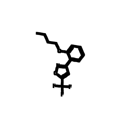 CCCCOc1ccccc1-c1cc(C(F)(F)F)on1